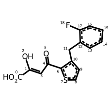 O=C(O)C(O)=CC(=O)c1sccc1Cc1ccccc1F